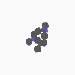 c1ccc(B2c3cc4c(cc3-c3c2cccc3-c2ccc(-c3nc5ccccn5c3-c3ccccc3)cc2)c2ccccc2n4-c2ccccc2)cc1